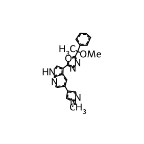 COC(C)(c1ccccc1)c1nnc(-c2c[nH]c3ncc(-c4cnn(C)c4)cc23)o1